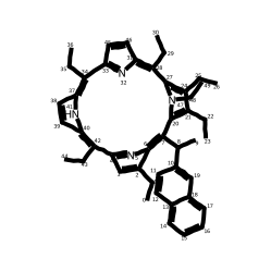 CCC1=Cc2nc1c(C(C)c1ccc3ccccc3c1)c1c(CC)c(CC)c(c(CC)c3nc(c(CC)c4ccc([nH]4)c2CC)C=C3)n1CC